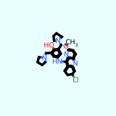 COc1ccc2nc3c(c(Nc4cc(CN5CCCC5)c(O)c(CN5CCCC5)c4)c2n1)=CCC(Cl)C=3